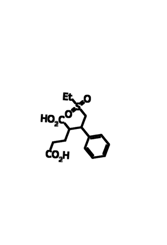 CCS(=O)(=O)CC(c1ccccc1)C(CCC(=O)O)C(=O)O